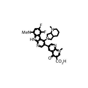 CNc1cc(F)c(F)c2c1[nH]c1ncc(-c3cnc4c(c3)c(=O)c(C(=O)O)cn4C)c(N3CC4CCCN(C)C4C3)c12